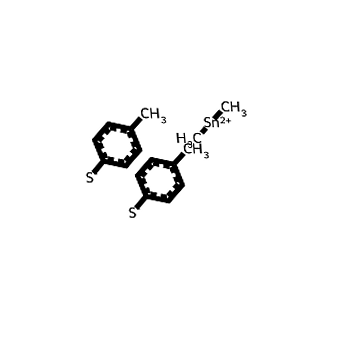 Cc1ccc([S-])cc1.Cc1ccc([S-])cc1.[CH3][Sn+2][CH3]